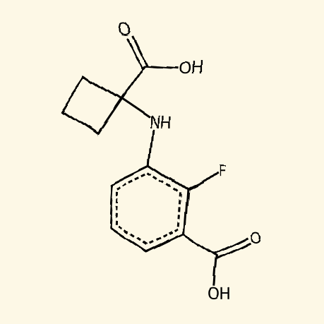 O=C(O)c1cccc(NC2(C(=O)O)CCC2)c1F